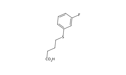 O=C(O)CCCSc1cccc(F)c1